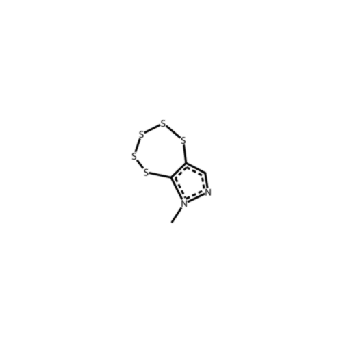 Cn1ncc2c1SSSSS2